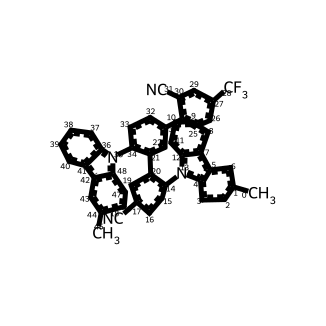 Cc1ccc2c(c1)c1ccccc1n2-c1ccc(C#N)cc1-c1cc(-c2ccc(C(F)(F)F)cc2C#N)ccc1-n1c2ccccc2c2cc(C)ccc21